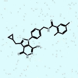 Cc1ccc(C)c(C(=O)NCc2ccc(-n3nc(CC4CC4)c4c(=O)[nH]nc(N)c43)cc2)c1